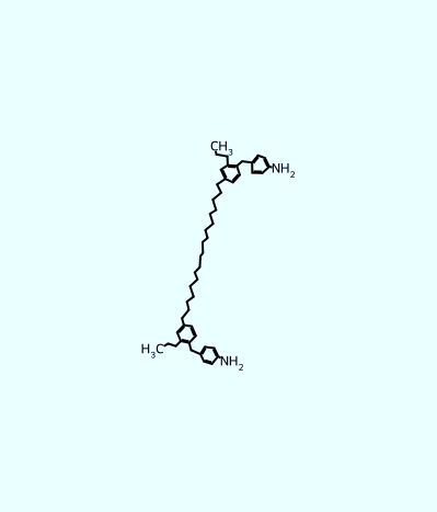 CCCc1cc(CCCCCCCCCCCCCCCCCCCc2ccc(Cc3ccc(N)cc3)c(CCC)c2)ccc1Cc1ccc(N)cc1